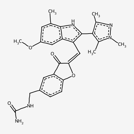 COc1cc(C)c2[nH]c(-c3c(C)nn(C)c3C)c(C=C3Oc4ccc(CNC(N)=O)cc4C3=O)c2c1